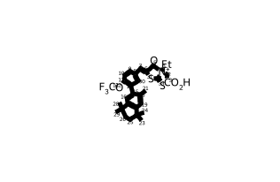 CC[N+]1(CC(=O)O)C(=O)C(=Cc2ccc(OC(F)(F)F)c(-c3cc4c(cc3C)C(C)(C)CCC4(C)C)c2)SC1=S